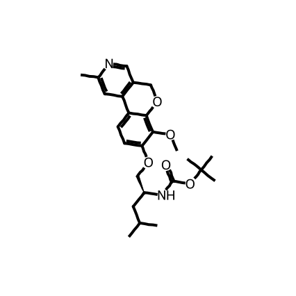 COc1c(OC[C@H](CC(C)C)NC(=O)OC(C)(C)C)ccc2c1OCc1cnc(C)cc1-2